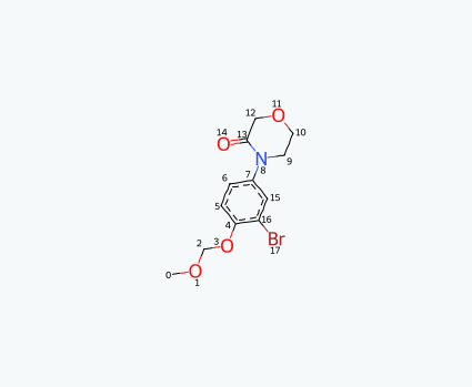 COCOc1ccc(N2CCOCC2=O)cc1Br